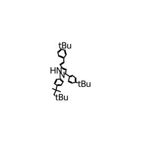 CC(C)(C)CC(C)(C)c1ccc(N2NC(C=Cc3ccc(C(C)(C)C)cc3)=CC2c2ccc(C(C)(C)C)cc2)cc1